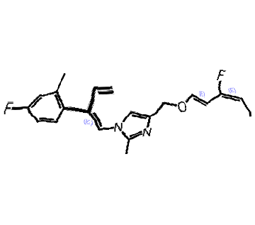 C=C/C(=C\n1cc(CO/C=C/C(F)=C\C)nc1C)c1ccc(F)cc1C